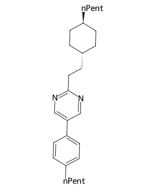 CCCCCc1ccc(-c2cnc(CC[C@H]3CC[C@H](CCCCC)CC3)nc2)cc1